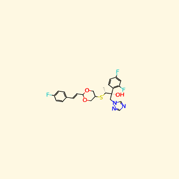 C[C@@H](SC1COC(/C=C/c2ccc(F)cc2)OC1)[C@](O)(Cn1cncn1)c1ccc(F)cc1F